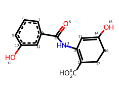 O=C(O)C1=C(NC(=O)c2cccc(O)c2)C=C(O)CC1